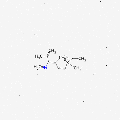 C=N/C(C(=C)C)=C(C)\C=C/C(C)(C)CC